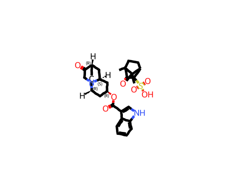 CC12CCC(C(S(=O)(=O)O)C1=O)C2(C)C.O=C(O[C@@H]1C[C@@H]2C[C@@H]3C[C@H](C1)N2CC3=O)c1c[nH]c2ccccc12